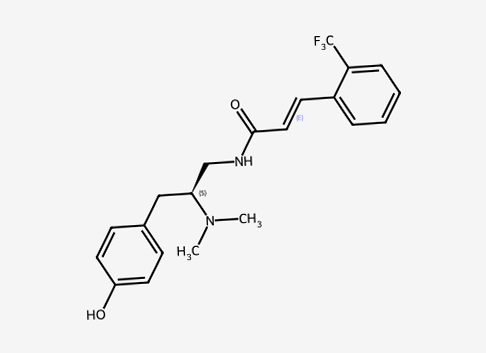 CN(C)[C@H](CNC(=O)/C=C/c1ccccc1C(F)(F)F)Cc1ccc(O)cc1